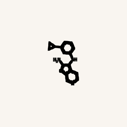 Nc1oc2cnccc2c1Nc1cccc(C2CC2)c1